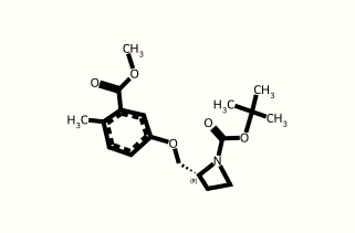 COC(=O)c1cc(OC[C@H]2CCN2C(=O)OC(C)(C)C)ccc1C